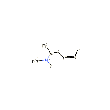 C/C=C\CC(C(C)C)N(C)CCC